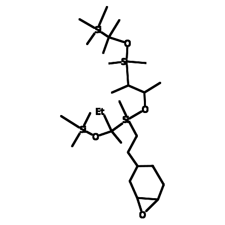 CCC(C)(O[Si](C)(C)C)[Si](C)(CCC1CCC2OC2C1)OC(C)C(C)[Si](C)(C)OC(C)(C)[Si](C)(C)C